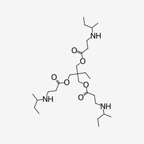 CCC(C)NCCC(=O)OCC(CC)(COC(=O)CCNC(C)CC)COC(=O)CCNC(C)CC